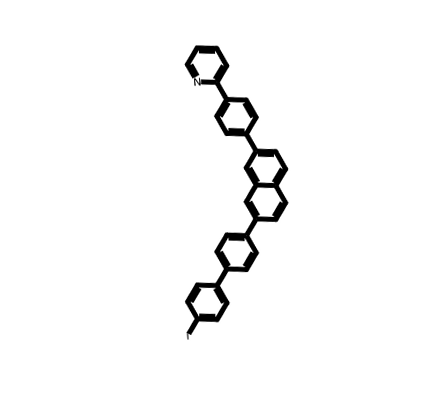 Ic1ccc(-c2ccc(-c3ccc4ccc(-c5ccc(-c6ccccn6)cc5)cc4c3)cc2)cc1